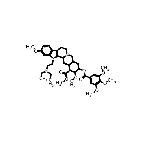 CCN(CC)CCn1c2c(c3ccc(OC)cc31)CCN1CC3CC(OC(=O)c4cc(OC)c(OC)c(OC)c4)C(OC)C(C(=O)OC)C3CC21